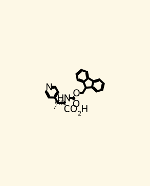 C[C@H](c1ccncc1)[C@H](NC(=O)OCC1c2ccccc2-c2ccccc21)C(=O)O